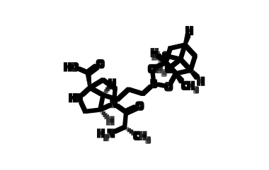 C[C@H](N)C(=O)N1CC[C@@]2(C(=O)O)NC[C@H]1[C@@H]2CCCB1O[C@@H]2C[C@@H]3C[C@@H](C3(C)C)[C@]2(C)O1